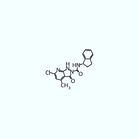 Cc1cc(Cl)nc2[nH]n(C(=O)N[C@@H]3CCc4ccccc43)c(=O)c12